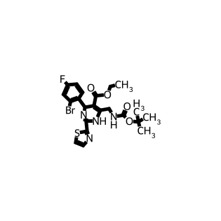 CCOC(=O)C1=C(CNC(=O)OC(C)(C)C)NC(c2nccs2)=NC1c1ccc(F)cc1Br